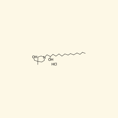 CCCCCCCCCCCCC(O)CN1CCC(C)(CO)CC1.Cl